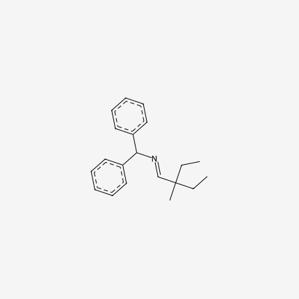 CCC(C)(C=NC(c1ccccc1)c1ccccc1)CC